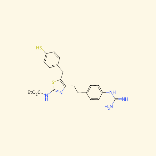 CCOC(=O)Nc1nc(CCc2ccc(NC(=N)N)cc2)c(Cc2ccc(S)cc2)s1